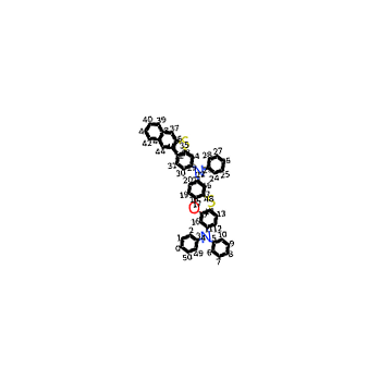 c1ccc(N(c2ccccc2)c2ccc3c(c2)Oc2ccc(N(c4ccccc4)c4ccc5c(c4)sc4cc6ccccc6cc45)cc2S3)cc1